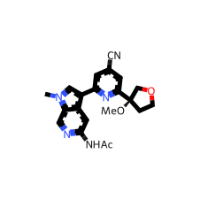 CO[C@]1(c2cc(C#N)cc(-c3cn(C)c4cnc(NC(C)=O)cc34)n2)CCOC1